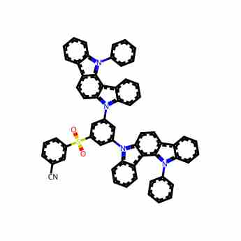 N#Cc1cccc(S(=O)(=O)c2cc(-n3c4ccccc4c4c3ccc3c5ccccc5n(-c5ccccc5)c34)cc(-n3c4ccccc4c4c3ccc3c5ccccc5n(-c5ccccc5)c34)c2)c1